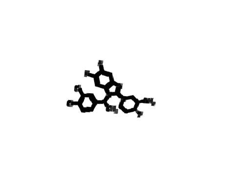 C[C@@H](c1ccc(Cl)c(Cl)c1)n1c(N2CC[C@@H](F)[C@H](N)C2)nc2cc(F)c(F)cc21